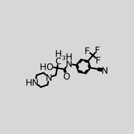 CC(O)(CN1CCNCC1)C(=O)Nc1ccc(C#N)c(C(F)(F)F)c1